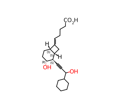 O=C(O)CCCC=C1C[C@@H]2[C@@H](C#CC(O)C3CCCCC3)[C@H](O)CC[C@H]12